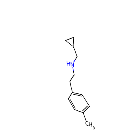 Cc1ccc(CCNCC2CC2)cc1